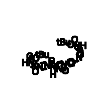 CC(C)(C)OC(=O)NCC12CC1CN(Cc1ccc(-n3ccc(NC(=O)N4CCN(C(=O)C(C)(C)NC(=O)OC(C)(C)C)CC4)nc3=O)cc1)C2